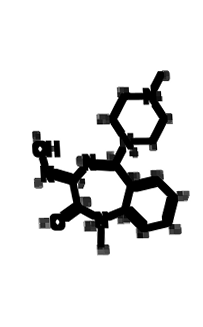 CN1CCN(c2nc(=NO)c(=O)n(C)c3ccccc23)CC1